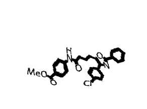 COC(=O)c1ccc(NC(=O)CCCc2oc(-c3ccccc3)nc2-c2ccc(Cl)cc2)cc1